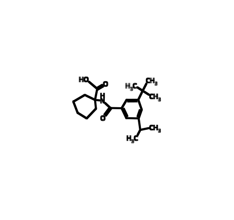 CC(C)c1cc(C(=O)NC2(C(=O)O)CCCCC2)cc(C(C)(C)C)c1